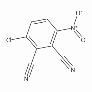 N#Cc1c(Cl)ccc([N+](=O)[O-])c1C#N